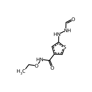 CCONC(=O)c1csc(NNC=O)c1